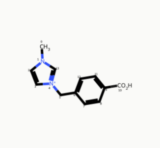 Cn1cc[n+](Cc2ccc(C(=O)O)cc2)c1